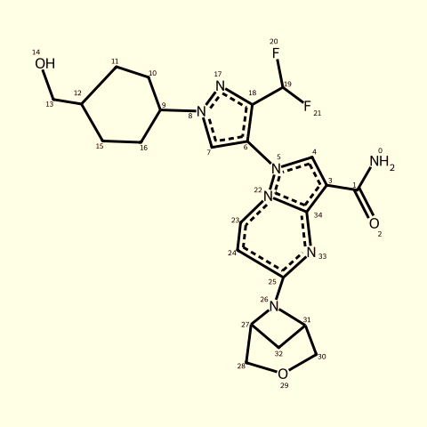 NC(=O)c1cn(-c2cn(C3CCC(CO)CC3)nc2C(F)F)[n+]2ccc(N3C4COCC3C4)nc12